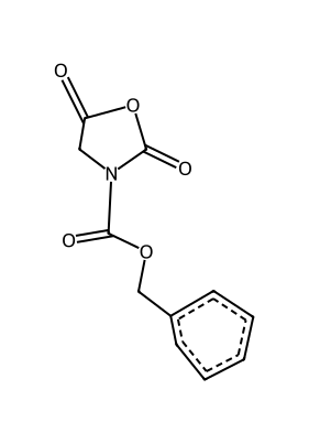 O=C1CN(C(=O)OCc2ccccc2)C(=O)O1